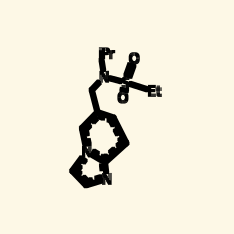 CCS(=O)(=O)N(Cc1ccc2nccn2c1)C(C)C